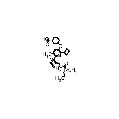 CCCN(C)C(=O)OCc1c(-c2nc(C3CCC3)c(O[C@H]3CCC[C@H](C(=O)O)C3)cc2C)nnn1C